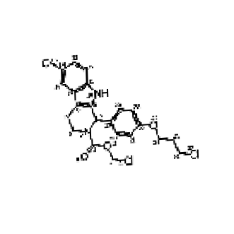 O=C(OCCl)N1CCc2c([nH]c3ccc(Cl)cc23)C1c1ccc(OCCCCl)cc1